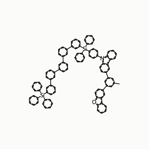 Cc1cc(-c2ccc3oc4ccccc4c3c2)cc(-c2ccc3c(c2)c2ccccc2n3-c2ccc([Si](c3ccccc3)(c3ccccc3)c3cccc(-c4cccc(-c5cccc(-c6cccc(-c7cccc([Si](c8ccccc8)(c8ccccc8)c8ccccc8)c7)c6)c5)c4)c3)cc2)c1